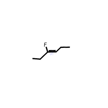 CC/C=C(\F)CC